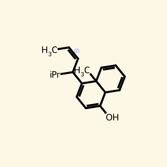 C/C=C\C(C1=CC=C(O)C2C=CC=CC12C)C(C)C